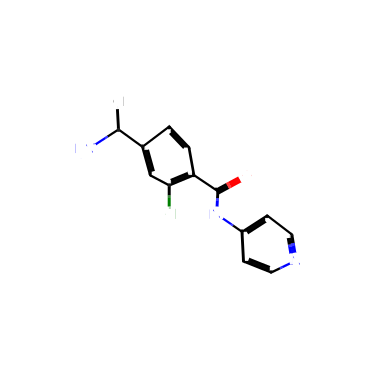 CC(N)c1ccc(C(=O)Nc2ccncc2)c(Cl)c1